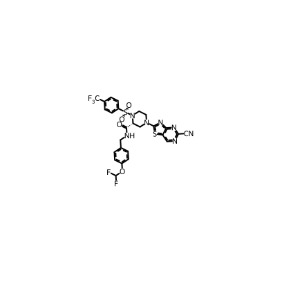 N#Cc1ncc2sc(N3CCN(S(=O)(=O)c4ccc(C(F)(F)F)cc4)[C@@H](C(=O)NCc4ccc(OC(F)F)cc4)C3)nc2n1